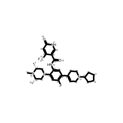 C[C@@H]1CN(c2cc(F)c(C3=CCN(C4CCCC4)CC3)cc2NC(=O)c2c[nH]c(=O)cc2C(F)(F)F)C[C@H](C)N1C